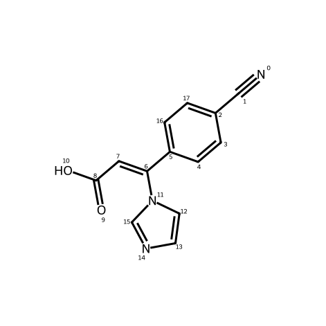 N#Cc1ccc(C(=CC(=O)O)n2ccnc2)cc1